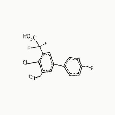 O=C(O)C(F)(F)c1cc(-c2ccc(F)cc2)cc(Cl)c1Cl